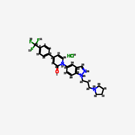 Cl.O=c1cc(-c2ccc(C(F)(F)F)cc2)ccn1-c1ccc2c(cnn2CCCN2CCCC2)c1